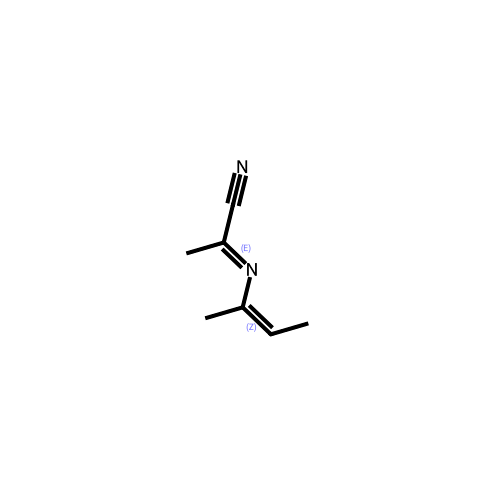 C/C=C(C)\N=C(/C)C#N